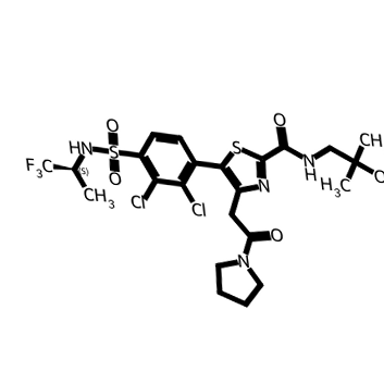 C[C@H](NS(=O)(=O)c1ccc(-c2sc(C(=O)NCC(C)(C)O)nc2CC(=O)N2CCCC2)c(Cl)c1Cl)C(F)(F)F